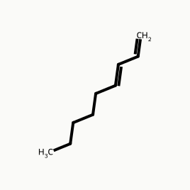 C=CC=CCCCCC